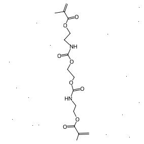 C=C(C)C(=O)OCCNC(=O)OCCOC(=O)NCCOC(=O)C(=C)C